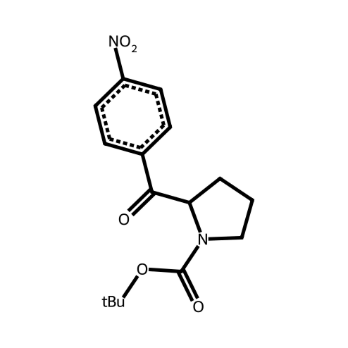 CC(C)(C)OC(=O)N1CCCC1C(=O)c1ccc([N+](=O)[O-])cc1